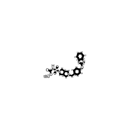 CC(C)(C)OC(=O)NS(=O)(=O)N1CC2CN(Cc3ccc(Oc4nc5ccccc5s4)cc3)CC2C1